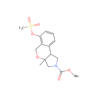 CC(C)(C)OC(=O)N1CC2c3cccc(OS(=O)(=O)C(F)(F)F)c3COC2(C)C1